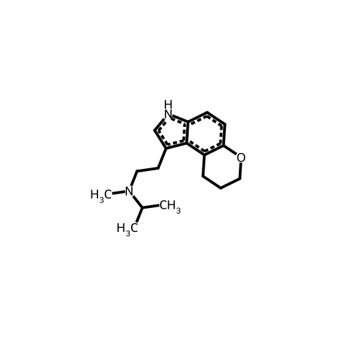 CC(C)N(C)CCc1c[nH]c2ccc3c(c12)CCCO3